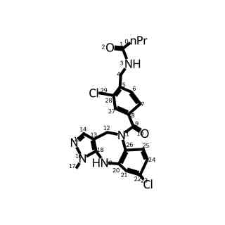 CCCC(=O)NCc1ccc(C(=O)N2Cc3cnn(C)c3Nc3cc(Cl)ccc32)cc1Cl